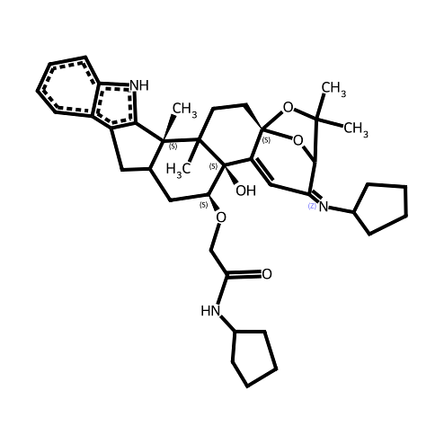 CC1(C)O[C@@]23CCC4(C)[C@@]5(C)c6[nH]c7ccccc7c6CC5C[C@H](OCC(=O)NC5CCCC5)[C@@]4(O)C2=C/C(=N/C2CCCC2)C1O3